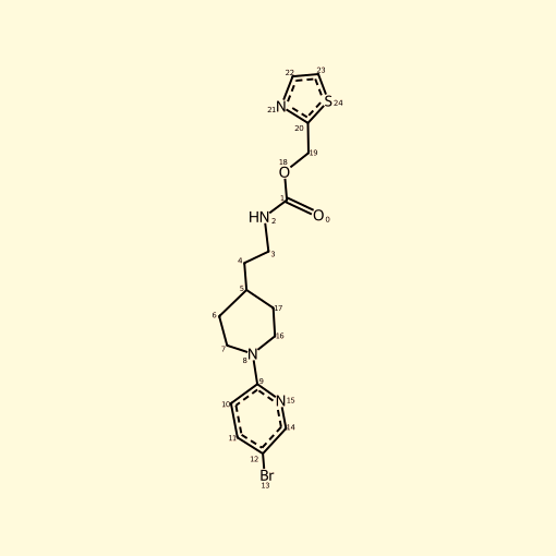 O=C(NCCC1CCN(c2ccc(Br)cn2)CC1)OCc1nccs1